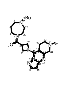 CCCCN1CCCN(C(=O)C2CN(c3c4c(nc5ccnn35)CN(C)CC4)C2)CC1